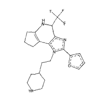 FC(F)(F)C1NC2=C(CCC2)c2c1nc(-c1ccco1)n2CCC1CCNCC1